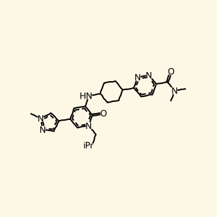 CC(C)Cn1cc(-c2cnn(C)c2)cc(NC2CCC(c3ccc(C(=O)N(C)C)nn3)CC2)c1=O